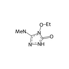 CCOn1c(NC)n[nH]c1=O